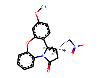 COc1ccc2c(c1)Oc1ccccc1N1C(=O)C[C@H]3[C@H](C[N+](=O)[O-])CC[C@]231